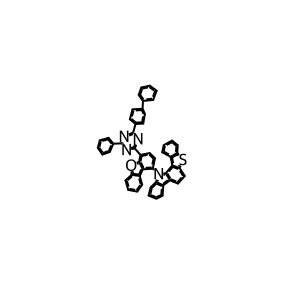 c1ccc(-c2ccc(-c3nc(-c4ccccc4)nc(-c4ccc(-n5c6ccccc6c6ccc7sc8ccccc8c7c65)c5c4oc4ccccc45)n3)cc2)cc1